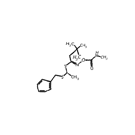 CNC(=O)ON=C(CC(C)(C)C)SC(C)SCc1ccccc1